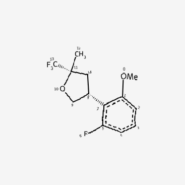 COc1cccc(F)c1[C@@H]1CO[C@](C)(C(F)(F)F)C1